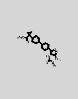 COC(=O)C1(c2ccc(-c3ccc(-c4snc(C)c4NC(=O)OC(C)C)cc3)cc2)CC1